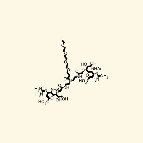 CC(=O)N[C@H]1[C@H]([C@H](OCC(=O)NCCN(CCNC(=O)CO[C@@H]([C@@H]2OC(C(=O)O)=C[C@H](N=C(N)N)[C@H]2NC(C)=O)[C@H](O)CO)C(=O)CCOCCOCCOCCOCI)[C@H](O)CO)OC(C(=O)O)=C[C@@H]1N=C(N)N